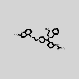 CC(=O)Nc1cccc(C(C2CCN(CCOc3cccc4nc(C)ccc34)CC2)N(CCO)Cc2ccccc2)c1